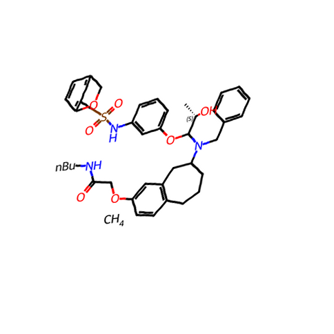 C.CCCCNC(=O)COc1ccc2c(c1)CC(N(Cc1ccccc1)C(Oc1cccc(NS(=O)(=O)c3cc4ccc3OC4)c1)[C@H](C)O)CCC2